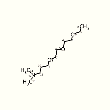 CCOCCOCCOCCCN(C)C